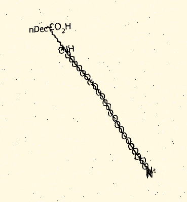 CCCCCCCCCCCC(CCCCCCCCCCC(=O)NCCOCCOCCOCCOCCOCCOCCOCCOCCOCCOCCOCCOCCOCCOCCOCCOCCOCCOCCOCCOCCOCCOCCOCCN=[N+]=[N-])C(=O)O